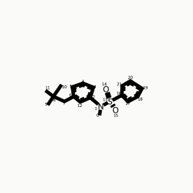 CN(c1cccc(CC(C)(C)C)c1)S(=O)(=O)c1ccccc1